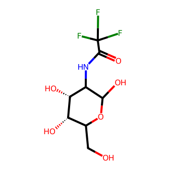 O=C(NC1C(O)OC(CO)[C@H](O)[C@@H]1O)C(F)(F)F